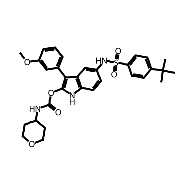 COc1cccc(-c2c(OC(=O)NC3CCOCC3)[nH]c3ccc(NS(=O)(=O)c4ccc(C(C)(C)C)cc4)cc23)c1